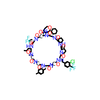 CC[C@H](C)[C@@H]1NC(=O)[C@H](CC(F)(F)F)N(C)C(=O)C[C@@H](C(=O)N2C3CCC2COC3)N(C)C(=O)[C@H](C2CCCCC2)N(C)C(=O)C2(CCCC2)NC(=O)[C@@H]2CCCN2C(=O)[C@H](CCc2ccc(C(F)(F)F)c(Cl)c2)NC(=O)CN(C)C(=O)[C@H](Cc2ccc(C)cc2)N(C)C(=O)CN(C)C(=O)CN(C)C1=O